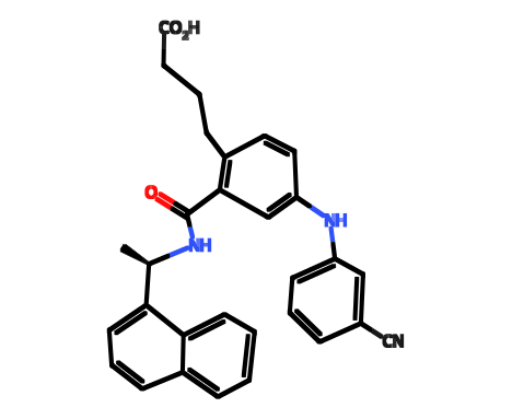 C[C@@H](NC(=O)c1cc(Nc2cccc(C#N)c2)ccc1CCCC(=O)O)c1cccc2ccccc12